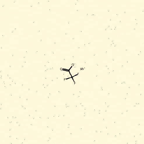 O=C([O-])C(F)(F)F.[Rb+]